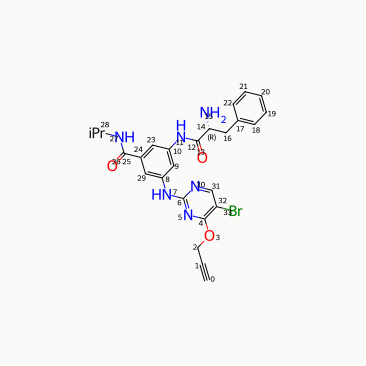 C#CCOc1nc(Nc2cc(NC(=O)[C@H](N)Cc3ccccc3)cc(C(=O)NC(C)C)c2)ncc1Br